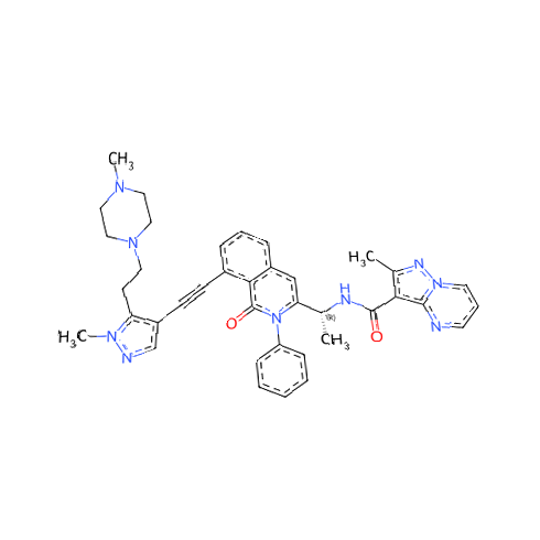 Cc1nn2cccnc2c1C(=O)N[C@H](C)c1cc2cccc(C#Cc3cnn(C)c3CCN3CCN(C)CC3)c2c(=O)n1-c1ccccc1